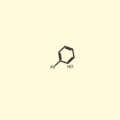 Cl.[Pd][c]1ccccc1